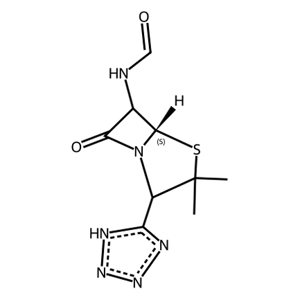 CC1(C)S[C@H]2C(NC=O)C(=O)N2C1c1nnn[nH]1